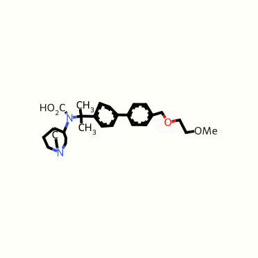 COCCOCc1ccc(-c2ccc(C(C)(C)N(C(=O)O)C3CCN4CCC3CC4)cc2)cc1